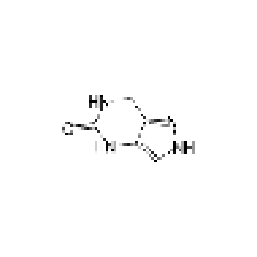 O=C1NCc2n[nH]cc2N1